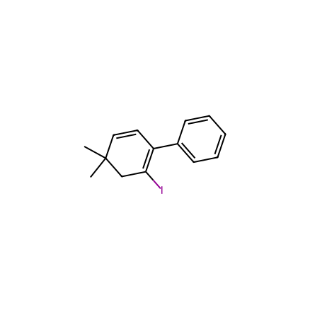 CC1(C)C=CC(c2ccccc2)=C(I)C1